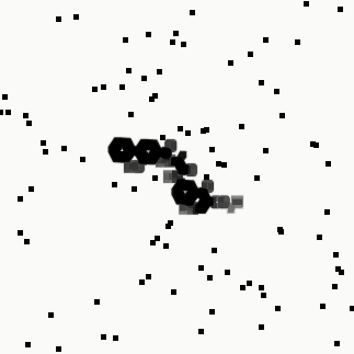 C[C@H](NC(=O)c1ccc(-c2ccccc2)c(O)c1)C(=O)Nc1ccc2[nH]cc(C(=O)O)c(=O)c2c1